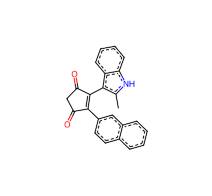 Cc1[nH]c2ccccc2c1C1=C(c2ccc3ccccc3c2)C(=O)CC1=O